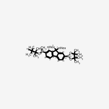 CCCCCCC1(CCCCCC)c2cc(B(C)OC(C)(C)C(C)(C)I)ccc2-c2ccc(B3OC(C)(C)C(C)(C)O3)cc21